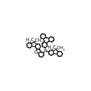 CC1(C)c2ccccc2-c2ccc(N(c3ccc4c5ccccc5c5ccccc5c4c3)c3cccc4oc5c6c(ccc5c34)C(C)(C)c3ccccc3-6)cc21